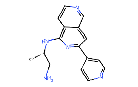 C[C@@H](CN)Nc1nc(-c2ccncc2)cc2cnccc12